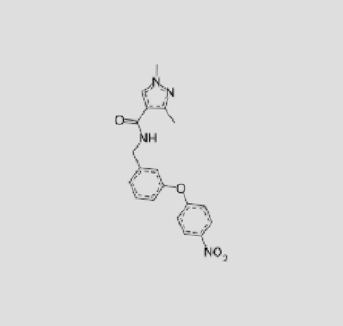 Cc1nn(C)cc1C(=O)NCc1cccc(Oc2ccc([N+](=O)[O-])cc2)c1